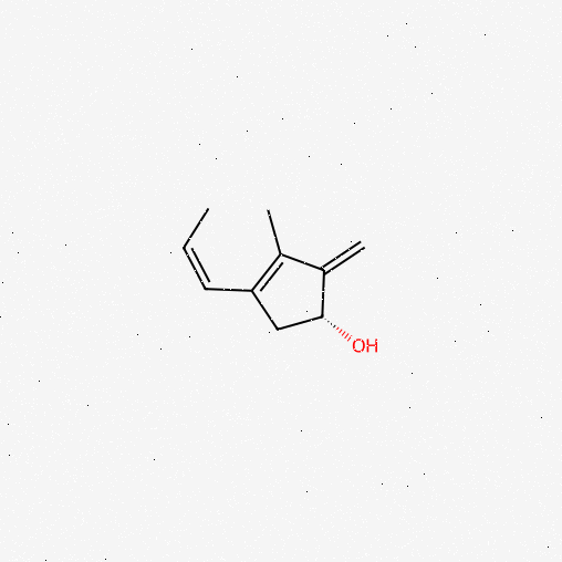 C=C1C(C)=C(/C=C\C)C[C@H]1O